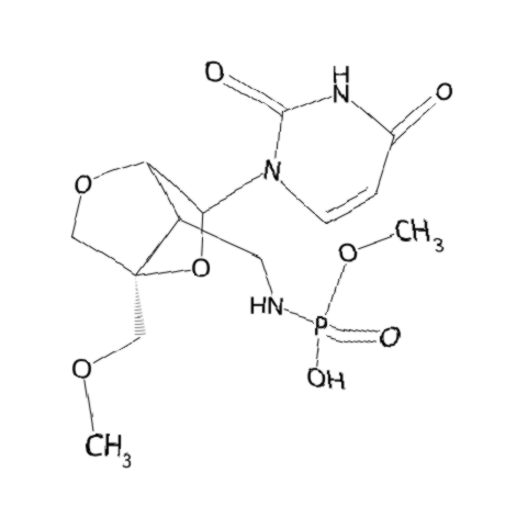 COC[C@@]12COC(C(n3ccc(=O)[nH]c3=O)O1)C2CNP(=O)(O)OC